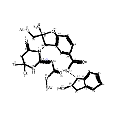 CCC1(CC)CC(=O)N([C@H]2c3cc(C(=O)N[C@@H]4c5ccccc5C[C@H]4O)ccc3O[C@@]2(C)COC)/C(=N/C(=O)OC(C)(C)C)N1